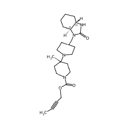 CC#CCOC(=O)N1CCC(C)(N2CCC(N3C(=O)N[C@H]4CCCC[C@@H]43)CC2)CC1